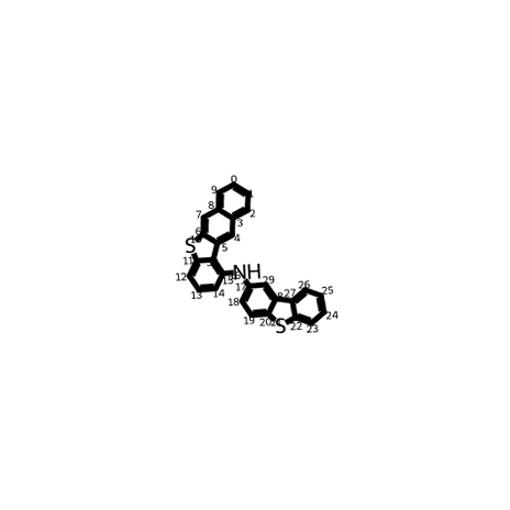 c1ccc2cc3c(cc2c1)sc1cccc(Nc2ccc4sc5ccccc5c4c2)c13